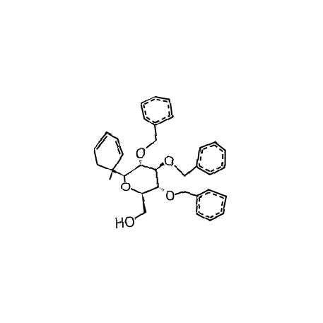 CC1([C@@H]2O[C@H](CO)[C@@H](OCc3ccccc3)[C@H](OCc3ccccc3)[C@H]2OCc2ccccc2)C=CC=CC1